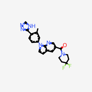 Cc1cc(-n2ccc3cc(C(=O)N4CCC(F)(F)CC4)cnc32)ccc1-c1nnc[nH]1